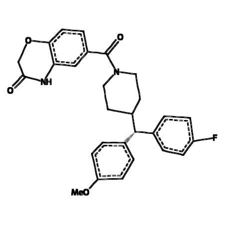 COc1ccc([C@@H](c2ccc(F)cc2)C2CCN(C(=O)c3ccc4c(c3)NC(=O)CO4)CC2)cc1